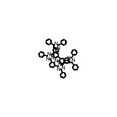 c1ccc(-c2cc(-c3ccc4c(c3)c3cc(-c5cc(-c6ccccc6)nc(-c6ccccc6)n5)ccc3n4-c3c(-c4nc(-c5ccccc5)nc(-c5ccccc5)n4)cccc3-c3nc(-c4ccccc4)nc(-c4ccccc4)n3)nc(-c3ccccc3)n2)cc1